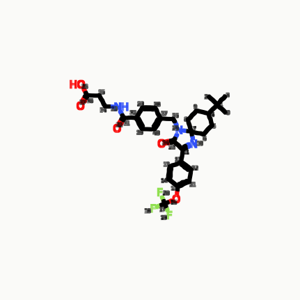 CC(C)(C)C1CCC2(CC1)N=C(c1ccc(OC(F)(F)F)cc1)C(=O)N2Cc1ccc(C(=O)NCCC(=O)O)cc1